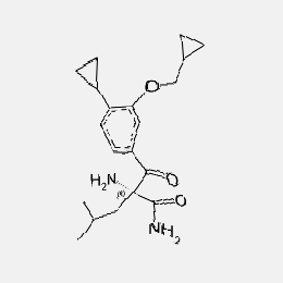 CC(C)C[C@](N)(C(N)=O)C(=O)c1ccc(C2CC2)c(OCC2CC2)c1